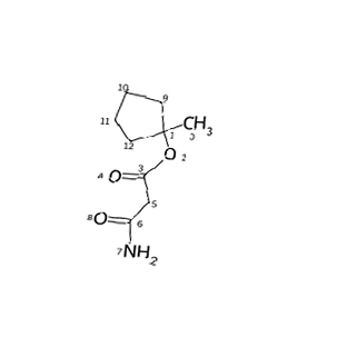 CC1(OC(=O)CC(N)=O)CCCC1